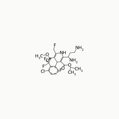 COC(=O)C1=C(CF)NC(C(N)CCN)=C(C(=O)OC(C)C)C1c1c(F)ccc(Cl)c1C(F)(F)F